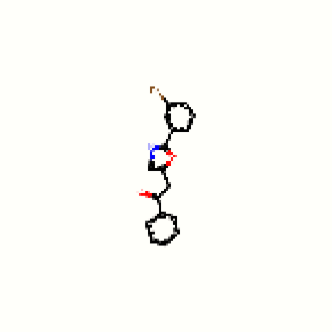 O=C(Cc1cnc(-c2cccc(Br)c2)o1)c1ccccc1